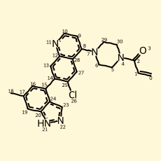 C=CC(=O)N1CCN(c2ccnc3cc(-c4cc(C)cc5[nH]ncc45)c(Cl)cc23)CC1